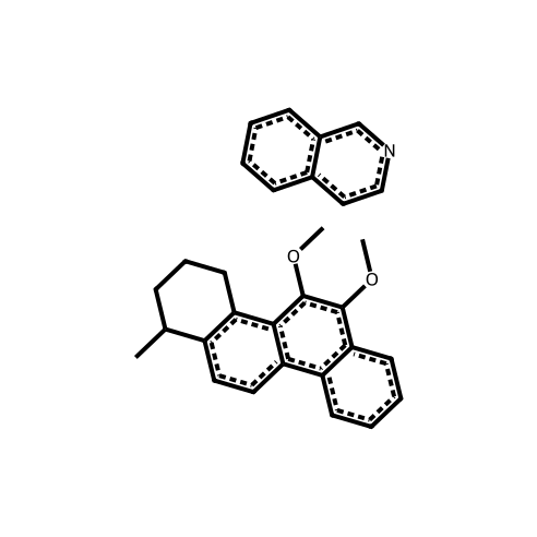 COc1c(OC)c2c3c(ccc2c2ccccc12)C(C)CCC3.c1ccc2cnccc2c1